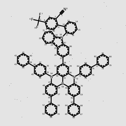 N#Cc1cc(C(F)(F)F)ccc1-c1ccccc1-n1c2ccccc2c2cc(-c3cc4c5c(c3)N(c3ccc(-c6ccccc6)cc3)c3ccc(-c6ccccc6)cc3B5c3cc(-c5ccccc5)ccc3N4c3ccc(-c4ccccc4)cc3)ccc21